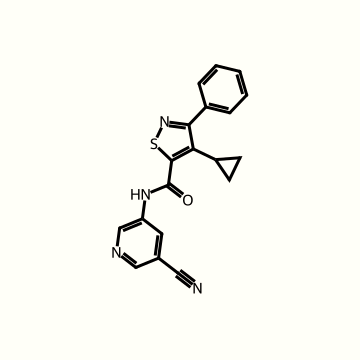 N#Cc1cncc(NC(=O)c2snc(-c3ccccc3)c2C2CC2)c1